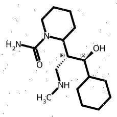 CNC[C@H](C1CCCCN1C(N)=O)[C@@H](O)C1CCCCC1